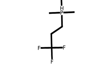 C[PH](C)(C)CCC(F)(F)F